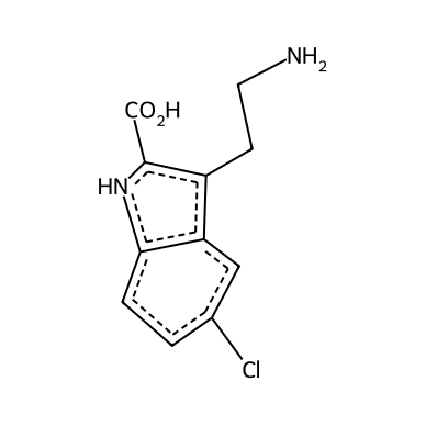 NCCc1c(C(=O)O)[nH]c2ccc(Cl)cc12